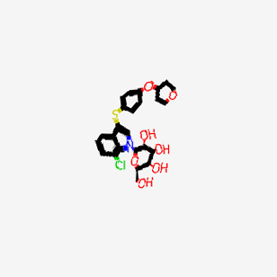 OC[C@H]1O[C@@H](n2cc(Sc3ccc(OC4CCOCC4)cc3)c3cccc(Cl)c32)[C@H](O)[C@@H](O)[C@@H]1O